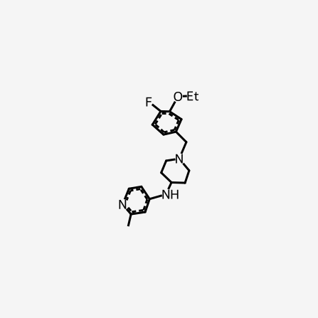 CCOc1cc(CN2CCC(Nc3ccnc(C)c3)CC2)ccc1F